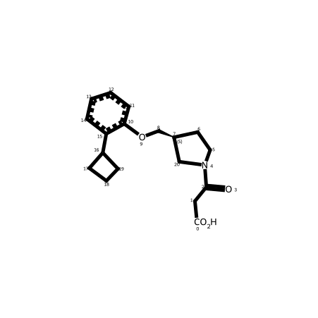 O=C(O)CC(=O)N1CC[C@H](COc2ccccc2C2CCC2)C1